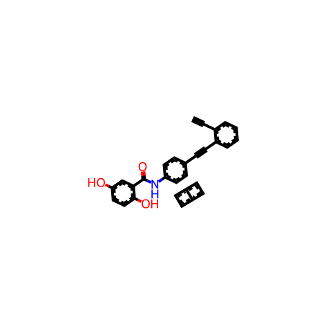 C#Cc1ccccc1C#Cc1ccc(NC(=O)c2cc(O)ccc2O)cc1.c1cc2ccc1-2